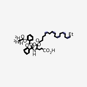 [2H]C([2H])([2H])C(=O)Oc1ccccc1C(=O)Oc1ccccc1C(=O)NC(CCC(=O)O)C(=O)OC(=O)CCC/C=C\C/C=C\C/C=C\C/C=C\C/C=C\CC